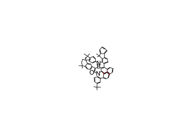 CC(C)(C)c1ccc(N2B3c4c(cc5ccccc5c4-c4ccc5c(c42)C(C)(C)c2ccccc2-5)N(c2ccc(C(C)(C)C)cc2-c2ccccc2)c2oc4cc5c(cc4c23)C(C)(C)CCC5(C)C)cc1